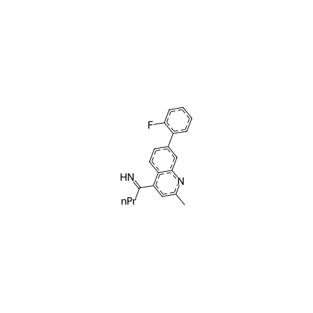 CCCC(=N)c1cc(C)nc2cc(-c3ccccc3F)ccc12